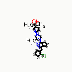 C[C@H]1CN(c2ccc(C(C)(C)O)cn2)CCN1c1nnc(Cc2ccccc2Cl)c2c1CCC2